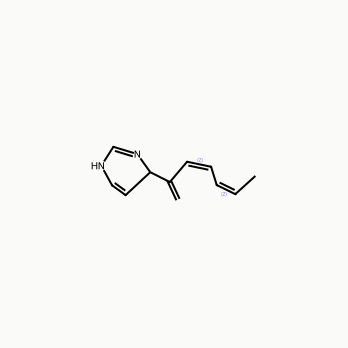 C=C(/C=C\C=C/C)C1C=CNC=N1